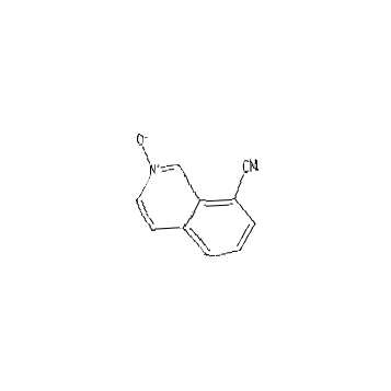 N#Cc1cccc2cc[n+]([O-])cc12